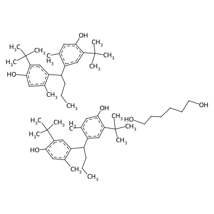 CCCC(c1cc(C(C)(C)C)c(O)cc1C)c1cc(C(C)(C)C)c(O)cc1C.CCCC(c1cc(C(C)(C)C)c(O)cc1C)c1cc(C(C)(C)C)c(O)cc1C.OCCCCCCO